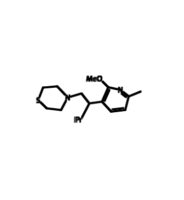 COc1nc(C)ccc1C(CN1CCSCC1)C(C)C